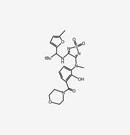 Cc1ccc(C(NC2=NS(=O)(=O)N=C2N(C)c2cccc(C(=O)N3CCOCC3)c2O)C(C)(C)C)o1